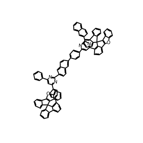 c1ccc(-c2cc(-c3ccc(-c4cccc5c4C4(c6ccccc6-5)c5ccccc5-c5oc6ccccc6c54)cc3)nc(-c3ccc4cc(-c5ccc(-c6cc(-c7cccc8c7C7(c9ccccc9-c9ccccc97)c7c-8oc8ccccc78)nc(-c7ccc8ccccc8c7)n6)cc5)ccc4c3)n2)cc1